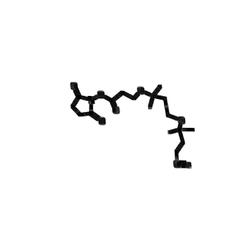 COCCC(C)(C)OCCC(C)(C)OCCC(=O)ON1C(=O)CCC1=O